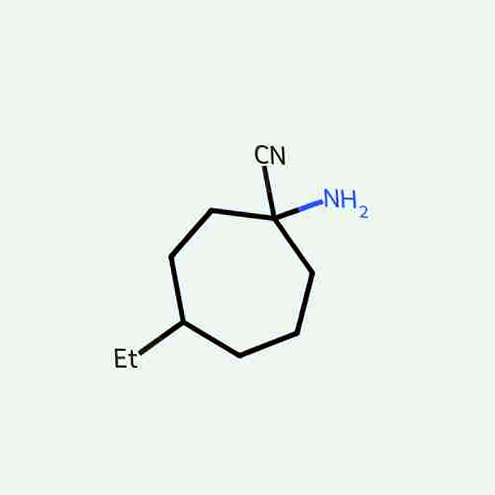 CCC1CCCC(N)(C#N)CC1